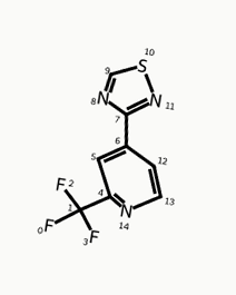 FC(F)(F)c1cc(-c2ncsn2)ccn1